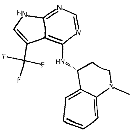 CN1CC[C@@H](Nc2ncnc3[nH]cc(C(F)(F)F)c23)c2ccccc21